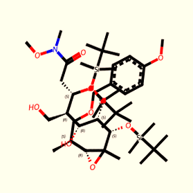 COc1ccc(COC[C@H](C)[C@H]2OC2(C)[C@@H](O[Si](C)(C)C(C)(C)C)[C@@H](CO[Si](C)(C)C(C)(C)C)[C@H](O)[C@@H](CO)[C@H](CC(=O)N(C)OC)O[Si](C)(C)C(C)(C)C)cc1